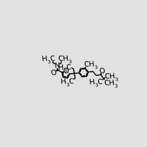 CCN(CC)C(=O)c1ccc(C(CC)(CC)c2ccc(CCC(=O)C(C)(C)C)c(C)c2)o1